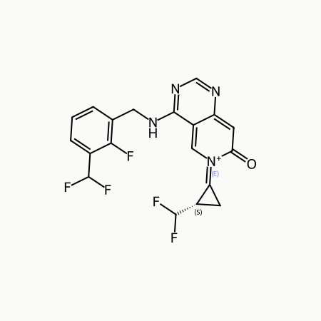 O=C1C=c2ncnc(NCc3cccc(C(F)F)c3F)c2=C/[N+]1=C1/C[C@@H]1C(F)F